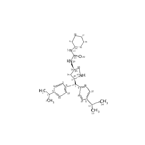 CC(C)c1ccc(C(c2ccc(C(C)C)cc2)[C@H]2C[C@@H](NC(=O)NC3CCCCC3)CN2)cc1